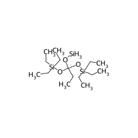 CCC(O[SiH3])(O[Si](CC)(CC)CC)O[Si](CC)(CC)CC